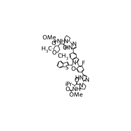 COC(=O)NC(C(=O)N1CCC[C@H]1c1ncc(-c2ccc3c(c2)cc2n3C(c3cc4ccccc4s3)Oc3cc(-c4cnc([C@@H]5CCCN5C(=O)[C@@H](NC(=O)OC)C(C)C)[nH]4)cc(F)c3-2)[nH]1)C1C[C@@H](C)O[C@@H](C)C1